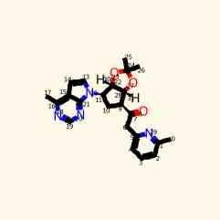 Cc1cccc(CC(=O)[C@H]2C[C@@H](n3ccc4c(C)ncnc43)[C@@H]3OC(C)(C)O[C@@H]32)n1